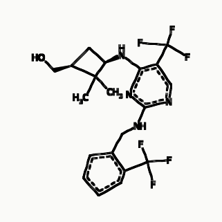 CC1(C)[C@@H](CO)C[C@H]1Nc1nc(NCc2ccccc2C(F)(F)F)ncc1C(F)(F)F